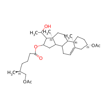 CC(=O)OC[C@@H](C)CCCC(=O)OC1CC2C3CC=C4C[C@@H](OC(C)=O)CC[C@]4(C)C3CC[C@]2(C)C1C(C)O